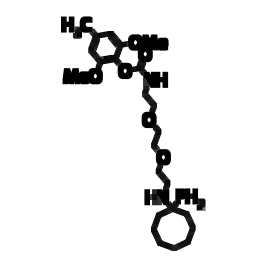 COc1cc(C)cc(OC)c1OC(=O)NCCOCCOCCNC1(P)CCCCCCC1